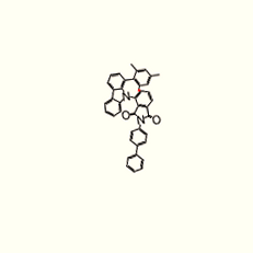 Cc1cc(C)c(-c2cccc3c4ccccc4n(-c4cccc5c4C(=O)N(c4ccc(-c6ccccc6)cc4)C5=O)c23)c(C)c1